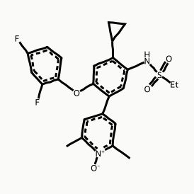 CCS(=O)(=O)Nc1cc(-c2cc(C)[n+]([O-])c(C)c2)c(Oc2ccc(F)cc2F)cc1C1CC1